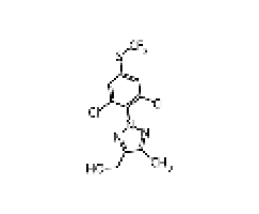 Cc1nn(-c2c(Cl)cc(SC(F)(F)F)cc2Cl)nc1CO